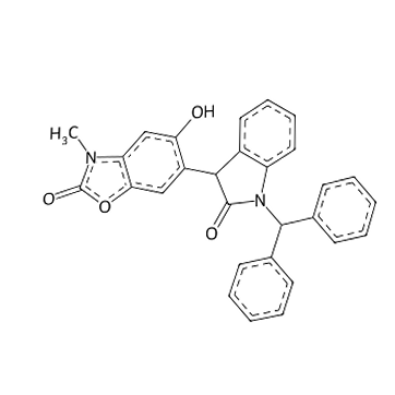 Cn1c(=O)oc2cc(C3C(=O)N(C(c4ccccc4)c4ccccc4)c4ccccc43)c(O)cc21